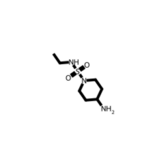 CCNS(=O)(=O)N1CCC(N)CC1